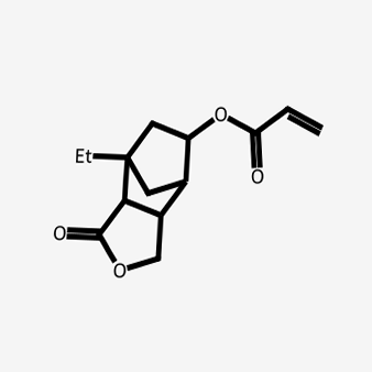 C=CC(=O)OC1CC2(CC)CC1C1COC(=O)C12